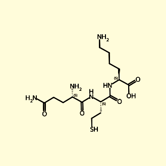 NCCCC[C@H](NC(=O)[C@H](CCS)NC(=O)[C@@H](N)CCC(N)=O)C(=O)O